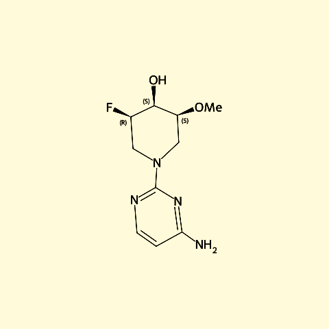 CO[C@H]1CN(c2nccc(N)n2)C[C@@H](F)[C@H]1O